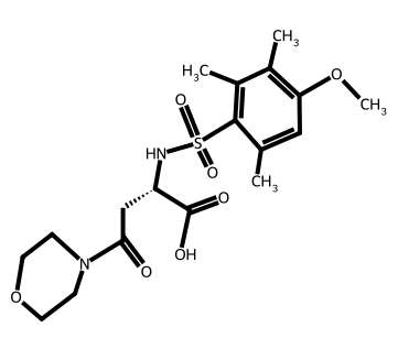 COc1cc(C)c(S(=O)(=O)N[C@@H](CC(=O)N2CCOCC2)C(=O)O)c(C)c1C